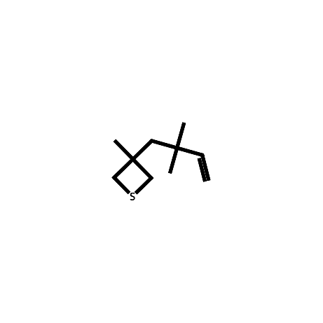 C=CC(C)(C)CC1(C)CSC1